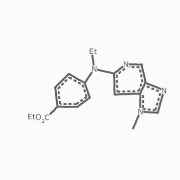 CCOC(=O)c1ccc(N(CC)c2cc3c(cn2)ncn3C)cc1